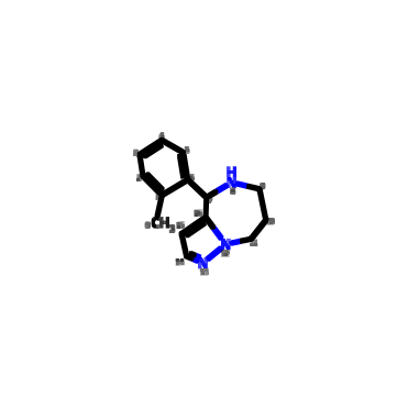 Cc1ccccc1C1NCCCn2nccc21